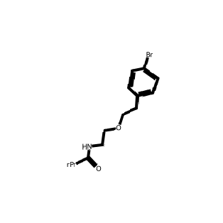 CCCC(=O)NCCOCCc1ccc(Br)cc1